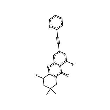 CC1(C)CC(F)c2nc3cc(C#Cc4ccccn4)cc(F)c3c(=O)n2C1